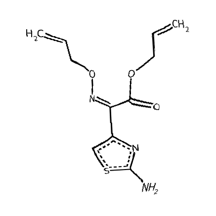 C=CCON=C(C(=O)OCC=C)c1csc(N)n1